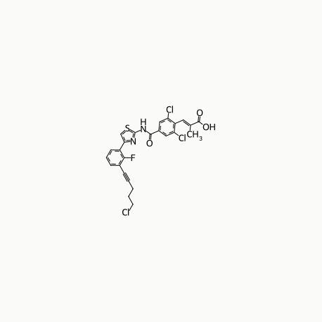 CC(=Cc1c(Cl)cc(C(=O)Nc2nc(-c3cccc(C#CCCCCl)c3F)cs2)cc1Cl)C(=O)O